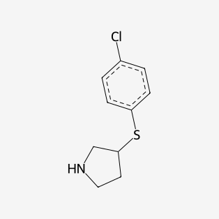 Clc1ccc(SC2CCNC2)cc1